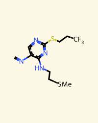 C=Nc1cnc(SCCC(F)(F)F)nc1NCCSC